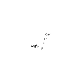 [Ca+2].[F-].[F-].[F-].[F-].[Mg+2]